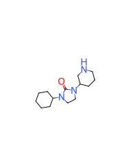 O=C1N(C2CCCCC2)CCN1C1CCCNC1